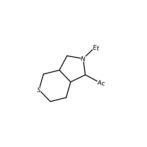 CCN1CC2CSCCC2C1C(C)=O